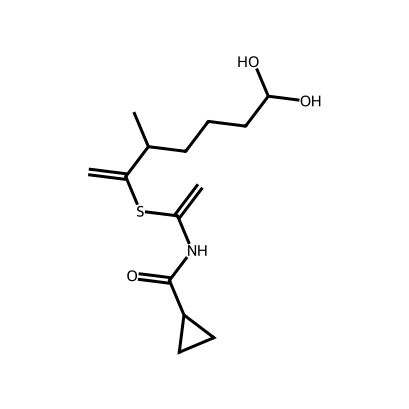 C=C(NC(=O)C1CC1)SC(=C)C(C)CCCC(O)O